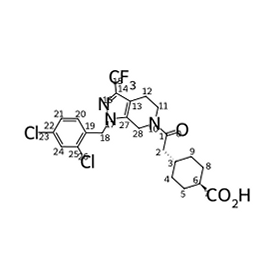 O=C(C[C@H]1CC[C@H](C(=O)O)CC1)N1CCc2c(C(F)(F)F)nn(Cc3ccc(Cl)cc3Cl)c2C1